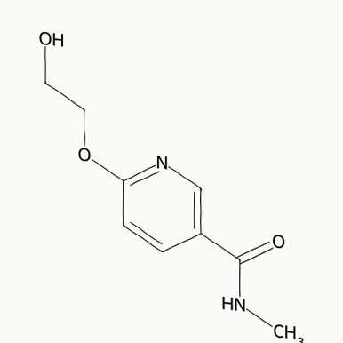 CNC(=O)c1ccc(OCCO)nc1